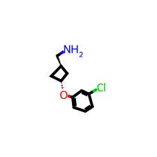 NC[C@H]1C[C@H](Oc2cccc(Cl)c2)C1